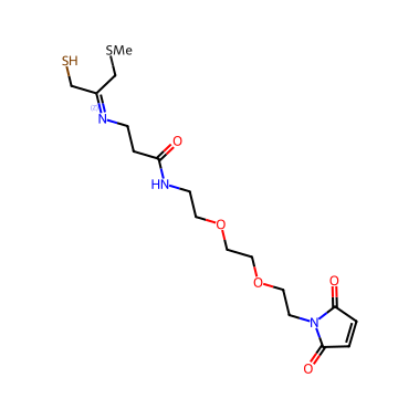 CSC/C(CS)=N\CCC(=O)NCCOCCOCCN1C(=O)C=CC1=O